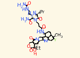 CC[C@@]1(O)C(=O)OCc2c1cc1n(c2=O)Cc2c-1nc1cc(F)c(C)c3c1c2[C@@H](NC(=O)CCCN(C(=O)[C@@H](N)C(C)C)[C@@H](CCCNC(N)=O)C(N)=O)CC3